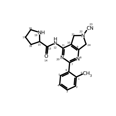 Cc1ccccc1-c1nc2c(c(NC(=O)C3CCCN3)n1)CN(C#N)C2